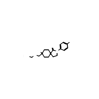 CC(C)(C)c1ccc(N2CCC3(CCC(O)(COCC(F)(F)F)CC3)C2=O)cc1